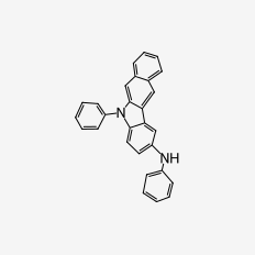 c1ccc(Nc2ccc3c(c2)c2cc4ccccc4cc2n3-c2ccccc2)cc1